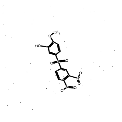 COc1ccc(S(=O)(=O)c2ccc([N+](=O)[O-])c([N+](=O)[O-])c2)cc1O